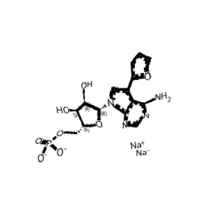 Nc1ncnc2c1c(-c1ccco1)cn2[C@@H]1O[C@H](COP(=O)([O-])[O-])[C@@H](O)[C@H]1O.[Na+].[Na+]